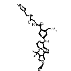 CCc1cc(Nc2nccn3c(-c4cn(CC#N)nc4C(F)(F)F)cnc23)ccc1C(=O)NCC(=O)NCC1CNC1